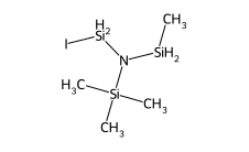 C[SiH2]N([SiH2]I)[Si](C)(C)C